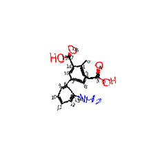 Cc1c(C(=O)O)cc(-c2ccccc2N)cc1C(=O)O